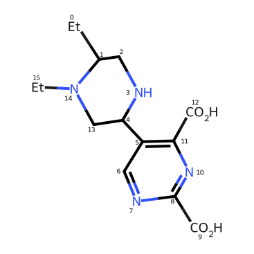 CCC1CNC(c2cnc(C(=O)O)nc2C(=O)O)CN1CC